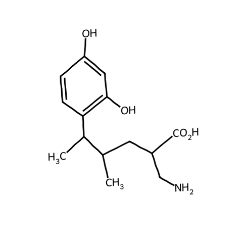 CC(CC(CN)C(=O)O)C(C)c1ccc(O)cc1O